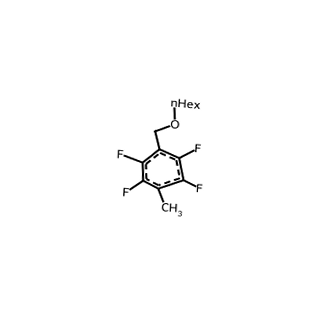 CCCCCCOCc1c(F)c(F)c(C)c(F)c1F